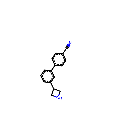 N#Cc1ccc(-c2cccc(C3CNC3)c2)cc1